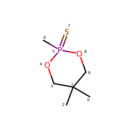 CC1(C)COP(C)(=S)OC1